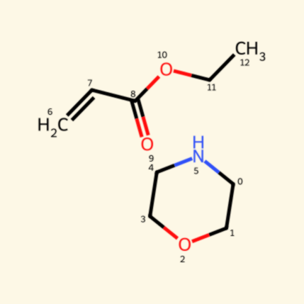 C1COCCN1.C=CC(=O)OCC